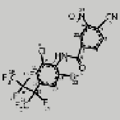 N#Cc1ccc(C(=O)Nc2c(Cl)cc(C(F)(C(F)(F)F)C(F)(F)C(F)(F)F)cc2Br)cc1[N+](=O)[O-]